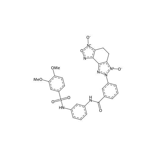 COc1ccc(S(=O)(=O)Nc2cccc(NC(=O)c3cccc(-n4nc5c([n+]4[O-])CCc4c-5no[n+]4[O-])c3)c2)cc1OC